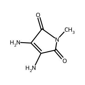 CN1C(=O)C(N)=C(N)C1=O